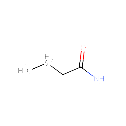 C[SiH2]CC(N)=O